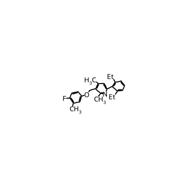 CCc1cccc(CC)c1-c1cc(C)c(COc2ccc(F)c(C)c2)c(C)n1